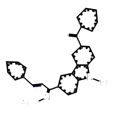 CCn1c2ccc(C(=O)c3ccccc3)cc2c2cc(C(/C=C/c3ccccc3)=N/OC(C)=O)ccc21